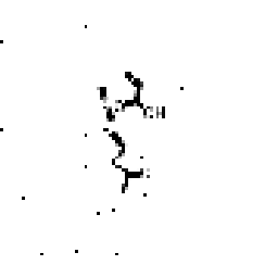 C=C=C.C=CC(=O)O.C=COC(C)=O